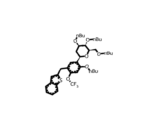 CCCCOC[C@H]1O[C@@H](c2cc(Cc3cc4ccccc4s3)c(OC(F)(F)F)cc2OCCCC)C[C@@H](OCCCC)[C@@H]1OCCCC